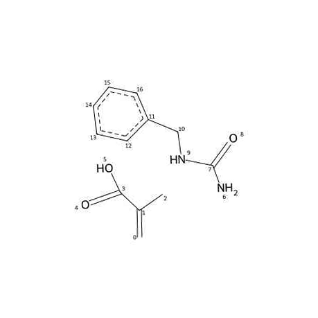 C=C(C)C(=O)O.NC(=O)NCc1ccccc1